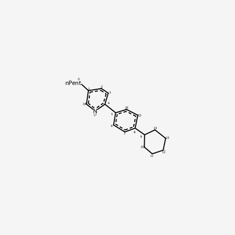 CCCCCc1ccc(-c2ccc(C3CC[CH]CC3)cc2)nc1